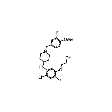 [CH]c1cc(Cl)c(NC2CCN(Cc3ccc(OC)c(F)c3)CC2)cc1OCCO